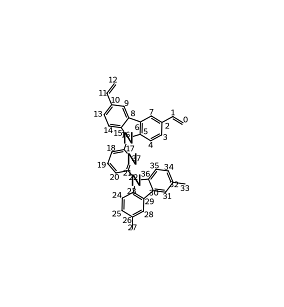 C=Cc1ccc2c(c1)c1cc(C=C)ccc1n2-c1cccc(-n2c3ccc(C)cc3c3cc(C)ccc32)n1